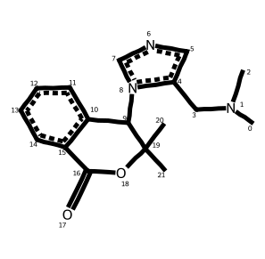 CN(C)Cc1cncn1C1c2ccccc2C(=O)OC1(C)C